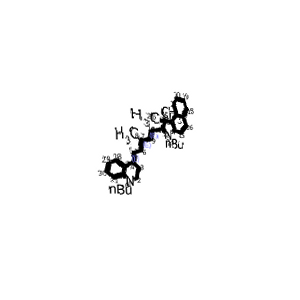 CCCCN1C=C\C(=C/C=C(C)/C=C/C2=[N+](CCCC)c3ccc4ccccc4c3C2(C)C)c2ccccc21